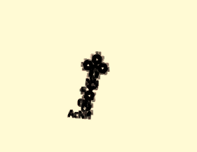 CC(=O)NC[C@H]1CN(c2ccc(-c3cnc(N4CCN(C(c5ccccc5)(c5ccccc5)c5ccccc5)CC4)nc3)c(F)c2)C(=O)O1